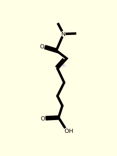 CN(C)C(=O)/C=C/CCCC(=O)O